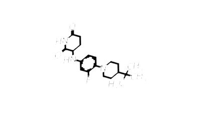 CC(C)(C)C1CCN(c2ccc(NC3CCC(=O)NC3=O)cc2F)CC1